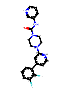 O=C(Nc1cccnc1)N1CCN(c2cc(-c3cccc(F)c3F)ccn2)CC1